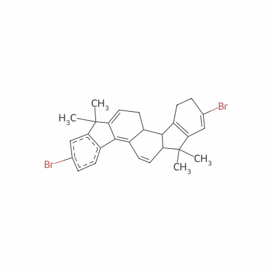 CC1(C)C2=CCC3C(=C2c2ccc(Br)cc21)C=CC1C3C2=C(C=C(Br)CC2)C1(C)C